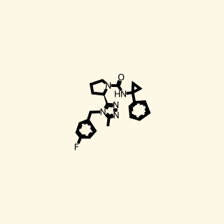 Cc1nnc([C@H]2CCCN2C(=O)NC2(c3ccccc3)CC2)n1Cc1ccc(F)cc1